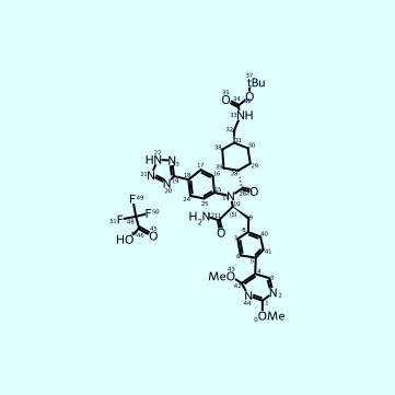 COc1ncc(-c2ccc(C[C@@H](C(N)=O)N(c3ccc(-c4nn[nH]n4)cc3)C(=O)[C@H]3CC[C@H](CNC(=O)OC(C)(C)C)CC3)cc2)c(OC)n1.O=C(O)C(F)(F)F